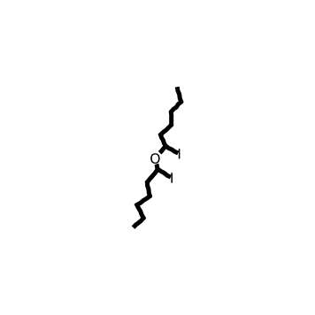 CCCCCC(I)OC(I)CCCCC